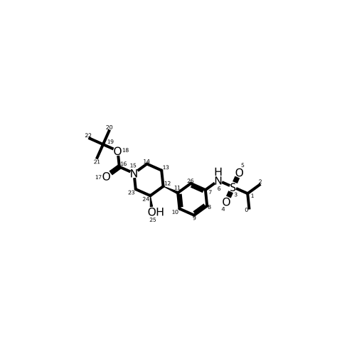 CC(C)S(=O)(=O)Nc1cccc([C@@H]2CCN(C(=O)OC(C)(C)C)C[C@@H]2O)c1